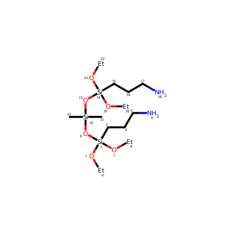 CCO[Si](CCCN)(OCC)O[Si](C)(C)O[Si](CCCN)(OCC)OCC